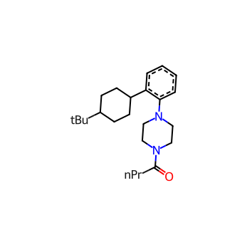 CCCC(=O)N1CCN(c2ccccc2C2CCC(C(C)(C)C)CC2)CC1